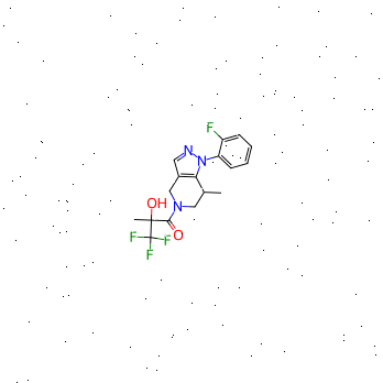 CC1CN(C(=O)C(C)(O)C(F)(F)F)Cc2cnn(-c3ccccc3F)c21